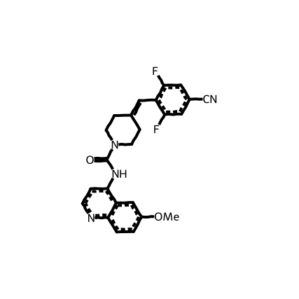 COc1ccc2nccc(NC(=O)N3CCC(=Cc4c(F)cc(C#N)cc4F)CC3)c2c1